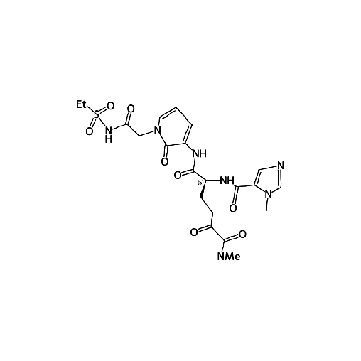 CCS(=O)(=O)NC(=O)Cn1cccc(NC(=O)[C@H](CCC(=O)C(=O)NC)NC(=O)c2cncn2C)c1=O